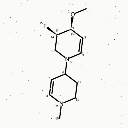 CO[C@H]1C=CN(C2C=CN(C)CC2)C[C@H]1F